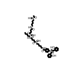 CCCCC(NC(=O)CCC(=O)N(O)CCCCCNC(=O)c1ccc(-n2nc(-c3ccccc3O)nc2-c2ccccc2O)cc1)N(O)C(=O)CCC(=O)NCCCCCN(O)C(C)=O